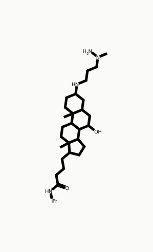 CC(C)NC(=O)CCCC1CCC2C3C(O)CC4CC(NCCCN(C)N)CCC4(C)C3CCC12C